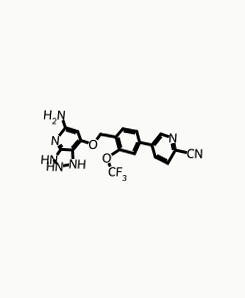 N#Cc1ccc(-c2ccc(COc3cc(N)nc4c3NNN4)c(OC(F)(F)F)c2)cn1